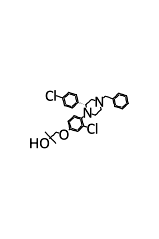 CC(C)(O)COc1ccc(N2CCN(Cc3ccccc3)C[C@H]2c2ccc(Cl)cc2)c(Cl)c1